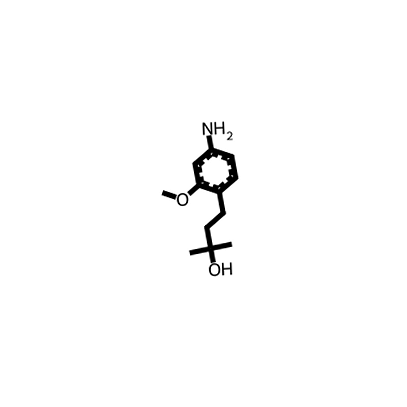 COc1cc(N)ccc1CCC(C)(C)O